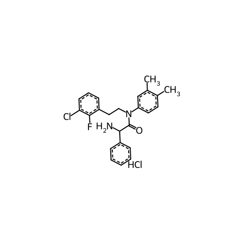 Cc1ccc(N(CCc2cccc(Cl)c2F)C(=O)C(N)c2ccccc2)cc1C.Cl